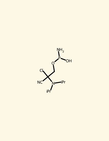 CC(C)N(C(C)C)C(Cl)(C#N)COP(N)O